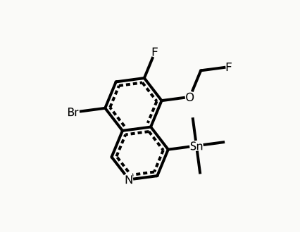 [CH3][Sn]([CH3])([CH3])[c]1cncc2c(Br)cc(F)c(OCF)c12